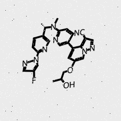 CC(O)COc1cc(-c2ccc(N(C)[C@@H](C)c3ccc(-n4cc(F)cn4)nc3)nc2)c2c(C#N)cnn2c1